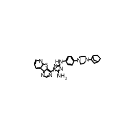 Nc1nc(Nc2ccc(N3CCN(C4CC5CCC4C5)CC3)cc2)nn1-c1ncnc2c1sc1ncccc12